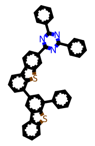 c1ccc(-c2nc(-c3ccccc3)nc(-c3ccc4c(c3)sc3c(-c5cc(-c6ccccc6)c6sc7ccccc7c6c5)cccc34)n2)cc1